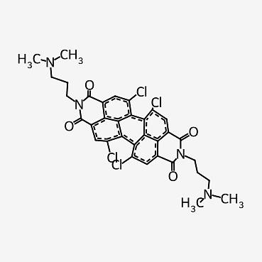 CN(C)CCCN1C(=O)c2cc(Cl)c3c4c(Cl)cc5c6c(cc(Cl)c(c7c(Cl)cc(c2c37)C1=O)c64)C(=O)N(CCCN(C)C)C5=O